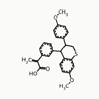 C=C(C(=O)O)c1cccc(C2c3ccc(OC)cc3SCC2c2ccc(OC)cc2)c1